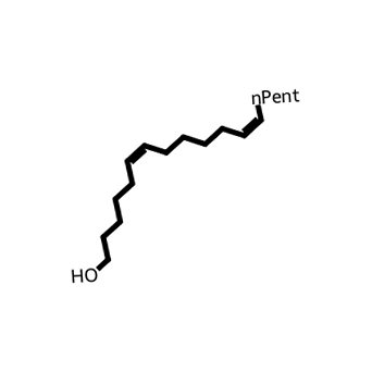 CCCCC/C=C\CCCC/C=C\CCCCCO